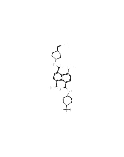 C=CC1CCC(NC(=O)c2ccc(C(=O)O)c3c(C(=O)NC4CCC(C(F)(F)F)CC4)ccc(C(=O)O)c23)CC1